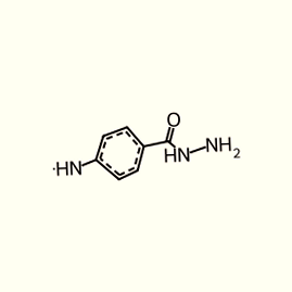 [NH]c1ccc(C(=O)NN)cc1